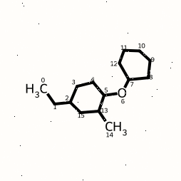 CCC1CCC(OC2CCCCC2)C(C)C1